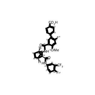 COc1cc(F)c(-c2ccc(C(=O)O)cc2)cc1C(=O)N[C@H]1[C@@H](C(=O)Nc2ccc(F)c(C(F)(F)F)c2)[C@@H]2C=C[C@H]1C2